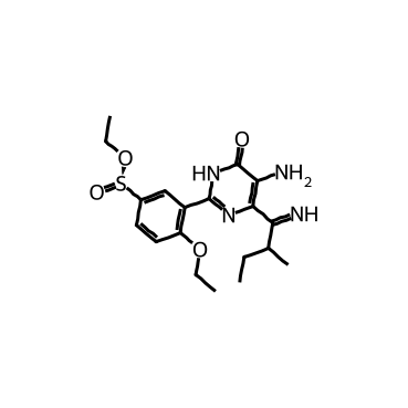 CCOc1ccc([S@@](=O)OCC)cc1-c1nc(C(=N)C(C)CC)c(N)c(=O)[nH]1